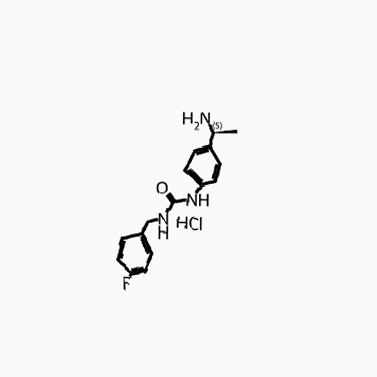 C[C@H](N)c1ccc(NC(=O)NCc2ccc(F)cc2)cc1.Cl